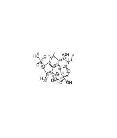 CCn1c(O)c(/N=N\c2cc(S(=O)(=O)O)c(N)cc2S(=O)(=O)O)c(C)c(CS(=O)(=O)O)c1=O